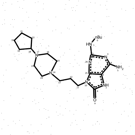 CCCCNc1nc(N)c2[nH]c(=O)n(CCCN3CCN(C4CCCC4)CC3)c2n1